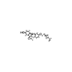 Cc1c(Cc2ccc(OCCN3CC(CF)C3)cc2)[nH]c2ccc(O)cc12